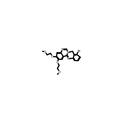 COCCOc1cc2c(cc1OCCOC)C1=Nc3cccc(Br)c3CN1C=N2